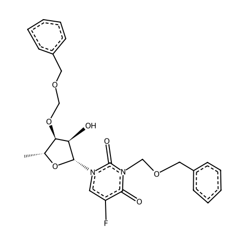 C[C@H]1O[C@@H](n2cc(F)c(=O)n(COCc3ccccc3)c2=O)[C@H](O)[C@@H]1OCOCc1ccccc1